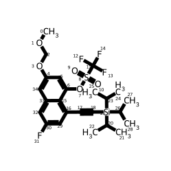 COCOc1cc(OS(=O)(=O)C(F)(F)F)c2c(C#C[Si](C(C)C)(C(C)C)C(C)C)cc(F)cc2c1